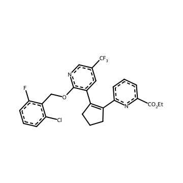 CCOC(=O)c1cccc(C2=C(c3cc(C(F)(F)F)cnc3OCc3c(F)cccc3Cl)CCC2)n1